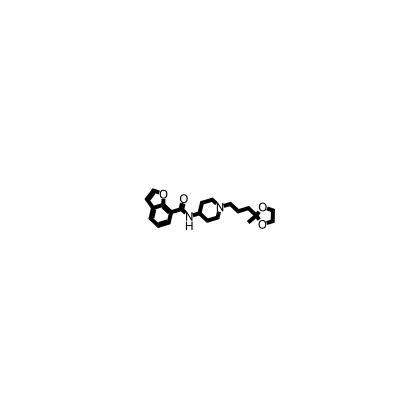 CC1(CCCN2CCC(NC(=O)c3cccc4ccoc34)CC2)OCCO1